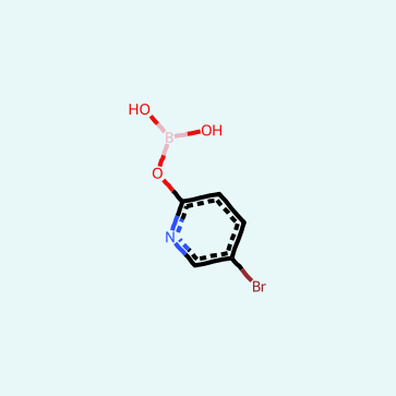 OB(O)Oc1ccc(Br)cn1